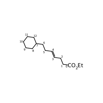 CCOC(=O)CCC=CCCC1CCCCC1